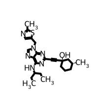 CCC(CC)Nc1nc(C#C[C@]2(O)CCC[C@@H](C)C2)nc2c1ncn2Cc1cnc(C)s1